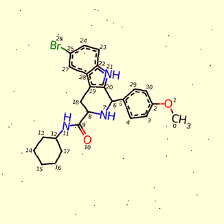 COc1ccc(C2NC(C(=O)NC3CCCCC3)Cc3c2[nH]c2ccc(Br)cc32)cc1